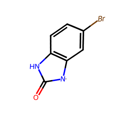 O=C1[N]c2cc(Br)ccc2N1